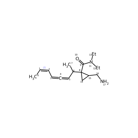 C/C=C\C=C=CC(C)C1(C(=O)N(CC)CC)CC1CN